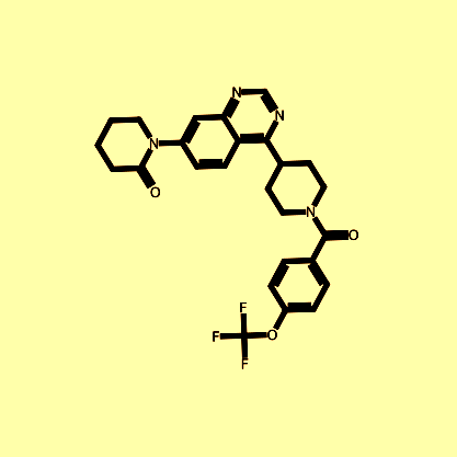 O=C(c1ccc(OC(F)(F)F)cc1)N1CCC(c2ncnc3cc(N4CCCCC4=O)ccc23)CC1